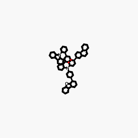 c1cc(-c2ccccc2N(c2ccc(-c3ccc4c(ccc5ccccc54)c3)cc2)c2ccc(-c3cccc4c3oc3ccccc34)cc2)cc(-c2ccccc2-n2c3ccccc3c3ccccc32)c1